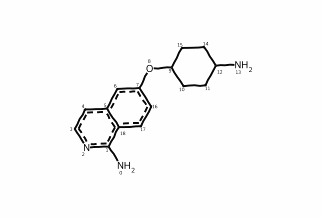 Nc1nccc2cc(OC3CCC(N)CC3)ccc12